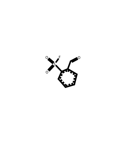 O=Cc1ccccc1S(=O)(=O)F